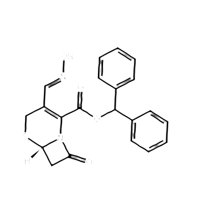 O=C(OC(c1ccccc1)c1ccccc1)C1=C(C=NO)CS[C@H]2CC(=O)N12